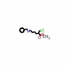 COC(=O)C(CCl)CCCCN=Cc1ccccc1